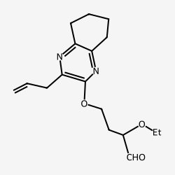 C=CCc1nc2c(nc1OCCC(C=O)OCC)CCCC2